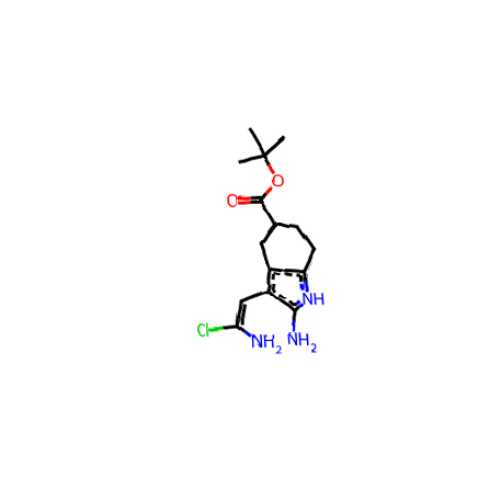 CC(C)(C)OC(=O)C1CCc2[nH]c(N)c(/C=C(\N)Cl)c2C1